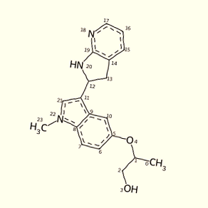 CC(CO)Oc1ccc2c(c1)c(C1Cc3cccnc3N1)cn2C